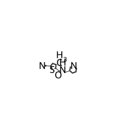 Cc1cc(C#N)sc1C(=O)NCc1cccnc1